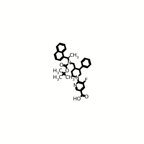 C[C@H](c1cccc2ccccc12)N(CC1CCN(c2ncc(C(=O)O)cc2F)CC1c1ccccc1)C(=O)OC(C)(C)C